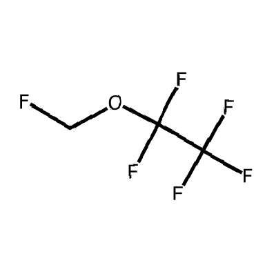 FCOC(F)(F)C(F)(F)F